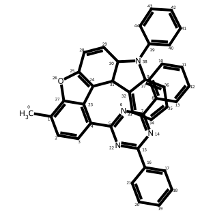 Cc1ccc(-c2nc(-c3ccccc3)nc(-c3ccccc3)n2)c2c3c(oc12)C=CC1C3c2ccccc2N1c1ccccc1